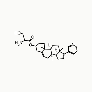 C[C@]12CC[C@H](OC(=O)C(N)CO)CC1=CC[C@@H]1[C@@H]2CC[C@]2(C)C(c3cccnc3)=CC[C@@H]12